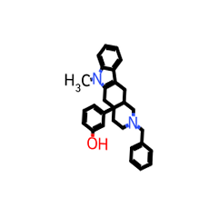 Cn1c2c(c3ccccc31)CC1CN(Cc3ccccc3)CCC1(c1cccc(O)c1)C2